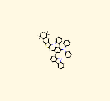 CC1(C)CCC(C)(C)c2cc3c4c(sc3cc21)Bc1c(-c2cccc3c2[nH]c2ccccc23)cc(N(c2ccccc2)c2ccccc2)c2c3ccccc3n-4c12